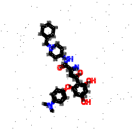 CN(C)c1ccc(Oc2cc(O)cc(O)c2-c2cc(C(=O)NC3CCN(CC4CCCCC4)CC3)no2)cc1